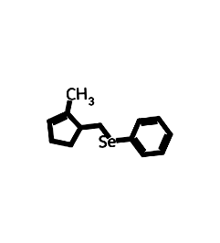 CC1=CCCC1C[Se]c1ccccc1